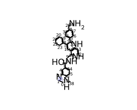 C/C=N\C1=CC(C(O)NCC2NC=CC3=C2C=C(C2=CC=CCC2)C(c2ccc(CN)cc2)N3)=CCC1NC